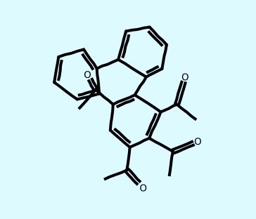 CC(=O)c1cc(C(C)=O)c(-c2ccccc2-c2ccccc2)c(C(C)=O)c1C(C)=O